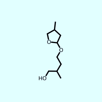 CC(CO)CCOC1CC(C)CO1